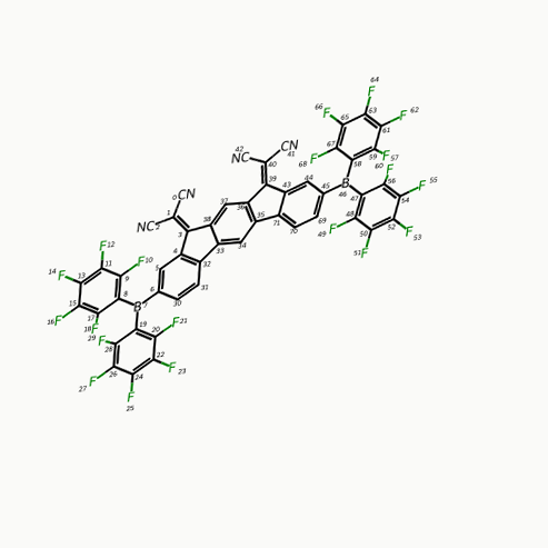 N#CC(C#N)=C1c2cc(B(c3c(F)c(F)c(F)c(F)c3F)c3c(F)c(F)c(F)c(F)c3F)ccc2-c2cc3c(cc21)C(=C(C#N)C#N)c1cc(B(c2c(F)c(F)c(F)c(F)c2F)c2c(F)c(F)c(F)c(F)c2F)ccc1-3